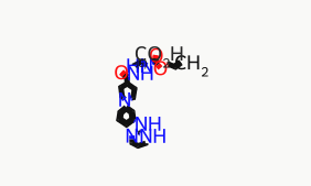 C=CCOC(=O)N[C@@H](CNC(=O)C1CCN(c2cccc(NC3=NCCCN3)c2)CC1)C(=O)O